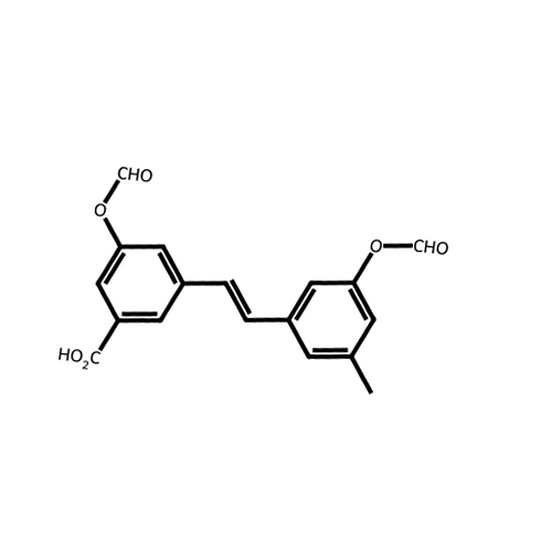 Cc1cc(/C=C/c2cc(OC=O)cc(C(=O)O)c2)cc(OC=O)c1